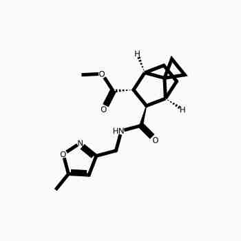 COC(=O)[C@H]1[C@H](C(=O)NCc2cc(C)on2)[C@@H]2CC[C@H]1C21CC1